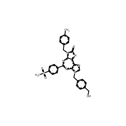 Cc1ccc(Cn2c3nc(-c4ccc(S(C)(=O)=O)cc4)nc4c(ncn4Cc4ccc(CO)cc4)c-3nc2=O)cc1